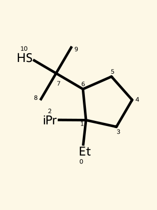 CCC1(C(C)C)CCCC1C(C)(C)S